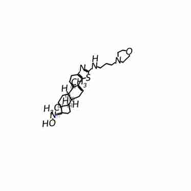 C[C@]12CCc3nc(NCCCN4CCOCC4)sc3C1=CC[C@@H]1[C@@H]2CC[C@]2(C)/C(=N/O)CC[C@@H]12